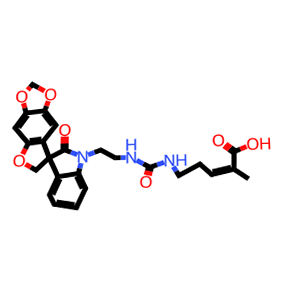 CC(=CCCNC(=O)NCCN1C(=O)C2(COc3cc4c(cc32)OCO4)c2ccccc21)C(=O)O